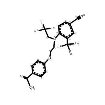 CC(=O)c1ccc(OCCN(CC(F)(F)F)c2ccc(C#N)cc2C(F)(F)F)cc1